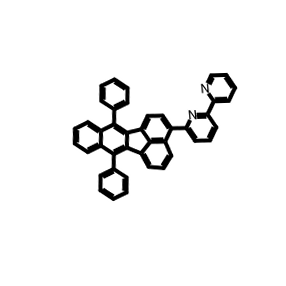 c1ccc(-c2c3c(c(-c4ccccc4)c4ccccc24)-c2ccc(-c4cccc(-c5ccccn5)n4)c4cccc-3c24)cc1